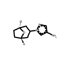 Nc1cnn(C2C[C@@H]3CC[C@@H](C2)O3)c1